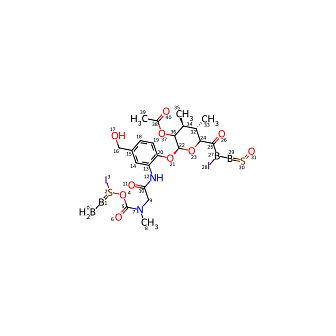 B/B=S(\I)OC(=O)N(C)CC(=O)Nc1cc(CO)ccc1O[C@@H]1OC(C(=O)B(I)B=S=O)[C@@H](C)[C@H](C)C1OC(C)=O